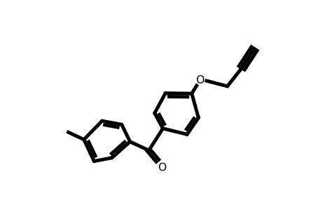 C#CCOc1ccc(C(=O)c2ccc(C)cc2)cc1